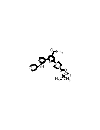 CC(C)(C)OC(=O)N1CCN(c2cc(C(N)=O)cc(-c3ccnc(NC4CCOCC4)c3)n2)CC1